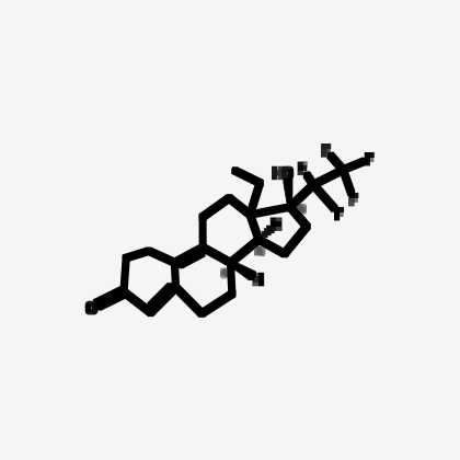 CCC12CCC3=C4CCC(=O)C=C4CC[C@H]3[C@@H]1CC[C@@]2(O)C(F)(F)C(F)(F)F